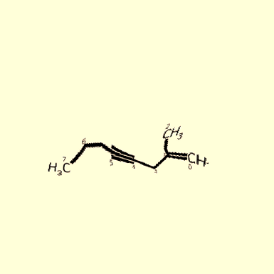 [CH]=C(C)CC#CCC